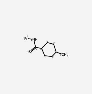 CC1CCC(C(=O)NC(C)C)CC1